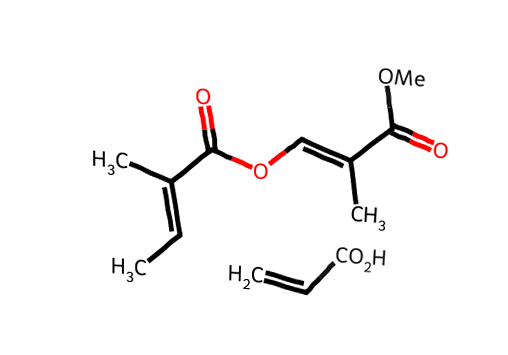 C=CC(=O)O.CC=C(C)C(=O)OC=C(C)C(=O)OC